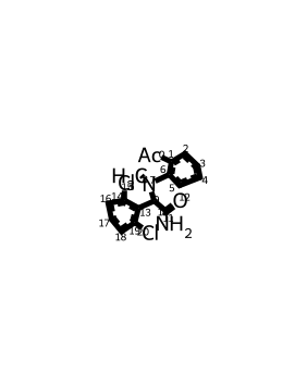 CC(=O)c1ccccc1N(C)C(C(N)=O)c1c(Cl)cccc1Cl